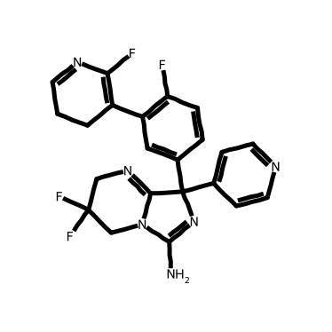 NC1=NC(c2ccncc2)(c2ccc(F)c(C3=C(F)N=CCC3)c2)C2=NCC(F)(F)CN12